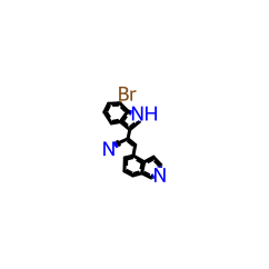 N#C/C(=C\c1cccc2cnccc12)c1c[nH]c2c(Br)cccc12